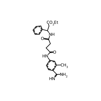 CCOC(=O)CC(NC(=O)CCC(=O)Nc1ccc(C(=N)N)c(C)c1)c1ccccc1